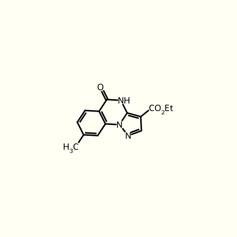 CCOC(=O)c1cnn2c1[nH]c(=O)c1ccc(C)cc12